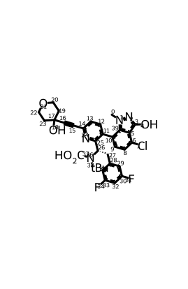 Cn1nc(O)c2c(Cl)ccc(-c3ccc(C#CC4(O)CCOCC4)nc3[C@H](Cc3cc(F)cc(F)c3)N(C(=O)O)C(C)(C)C)c21